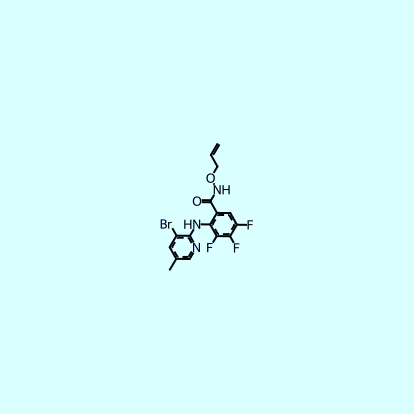 C=CCONC(=O)c1cc(F)c(F)c(F)c1Nc1ncc(C)cc1Br